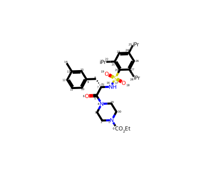 CCOC(=O)N1CCN(C(=O)[C@H](Cc2cccc(C)c2)NS(=O)(=O)c2c(C(C)C)cc(C(C)C)cc2C(C)C)CC1